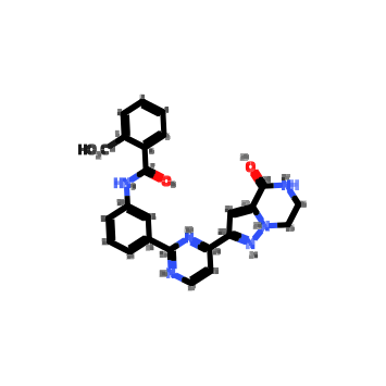 O=C(O)c1ccccc1C(=O)Nc1cccc(-c2nccc(-c3cc4n(n3)CCNC4=O)n2)c1